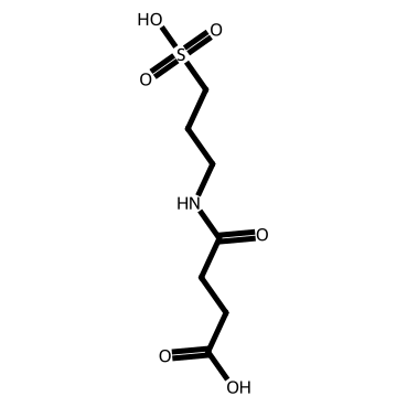 O=C(O)CCC(=O)NCCCS(=O)(=O)O